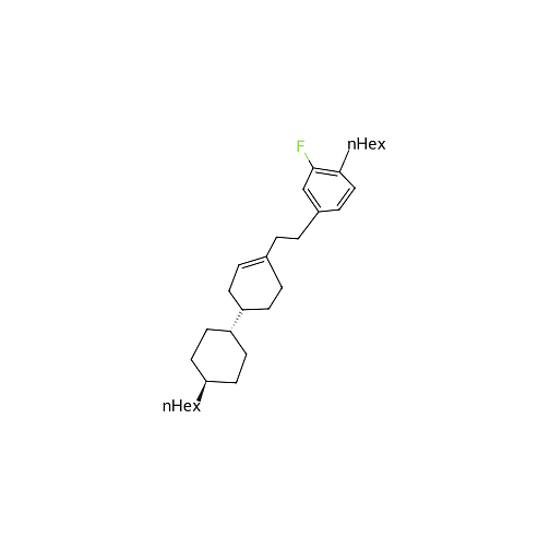 CCCCCCc1ccc(CCC2=CCC([C@H]3CC[C@H](CCCCCC)CC3)CC2)cc1F